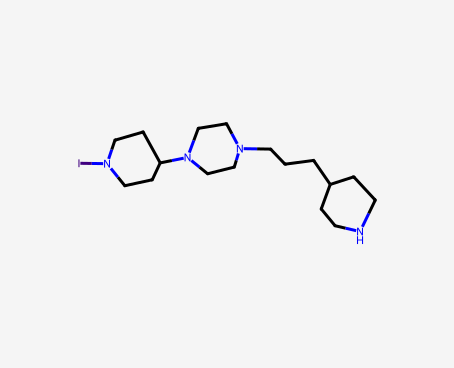 IN1CCC(N2CCN(CCCC3CCNCC3)CC2)CC1